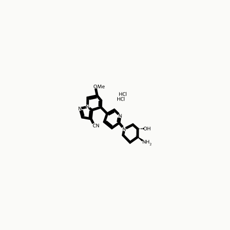 COc1cc(-c2ccc(N3CC[C@H](N)[C@@H](O)C3)nc2)c2c(C#N)cnn2c1.Cl.Cl